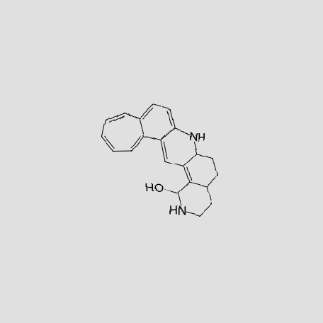 OC1NCCC2CCC3Nc4ccc5c(c4=CC3=C21)=CC=CC=C5